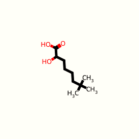 CC(C)(C)CCCCC(O)C(=O)O